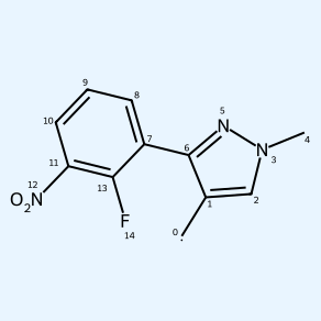 [CH2]c1cn(C)nc1-c1cccc([N+](=O)[O-])c1F